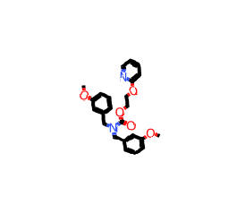 COc1cccc(CN(Cc2cccc(OC)c2)C(=O)OCCOc2ccccn2)c1